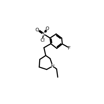 CCN1CCCC(Cc2cc(F)ccc2S(=O)(=O)Cl)C1